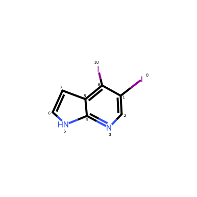 Ic1cnc2[nH]ccc2c1I